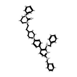 O=C1N(CCC2CCN(c3ccc(-c4ccc(OCc5ccccc5)nc4OCc4ccccc4)cc3)CC2)CCCN1c1ccccc1